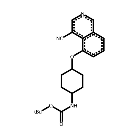 CC(C)(C)OC(=O)NC1CCC(Oc2cccc3cncc(C#N)c23)CC1